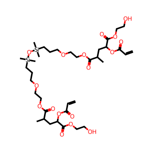 C=CC(=O)OC(CC(C)C(=O)OCCOCCC[Si](C)(C)O[Si](C)(C)CCCOCCOC(=O)C(C)CC(OC(=O)C=C)C(=O)OCCO)C(=O)OCCO